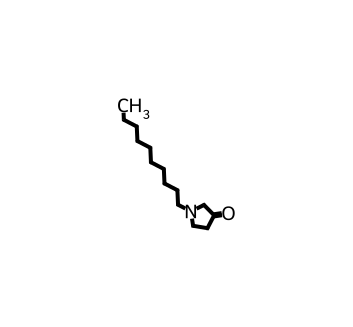 CCCCCCCCCCN1CCC(=O)C1